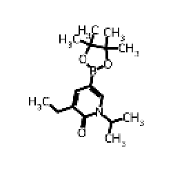 CCc1cc(B2OC(C)(C)C(C)(C)O2)cn(C(C)C)c1=O